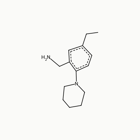 CCc1ccc(N2CCCCC2)c(CN)c1